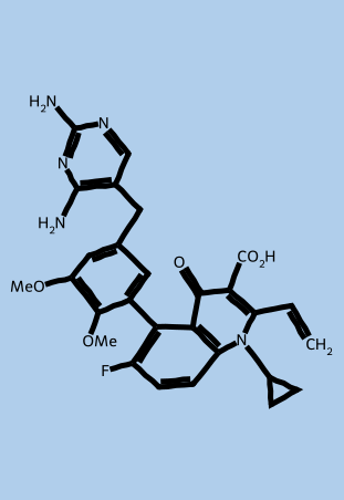 C=Cc1c(C(=O)O)c(=O)c2c(-c3cc(Cc4cnc(N)nc4N)cc(OC)c3OC)c(F)ccc2n1C1CC1